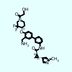 Cn1cc([C@@H]2C[C@H]2C(=O)Nc2cccc(-c3ccc(O[C@H]4CCN(C(=O)CO)CC4(F)F)c(CN)c3)c2)cn1